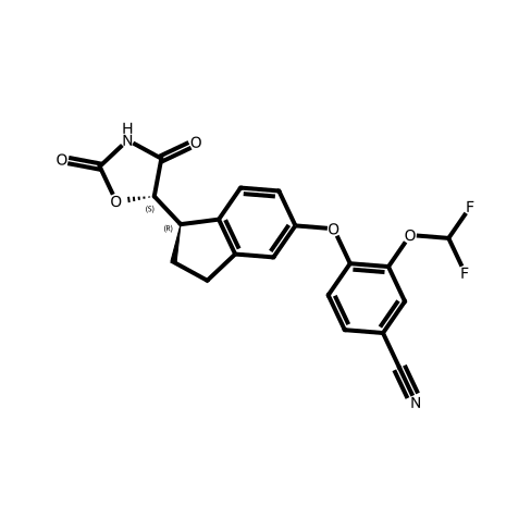 N#Cc1ccc(Oc2ccc3c(c2)CC[C@H]3[C@@H]2OC(=O)NC2=O)c(OC(F)F)c1